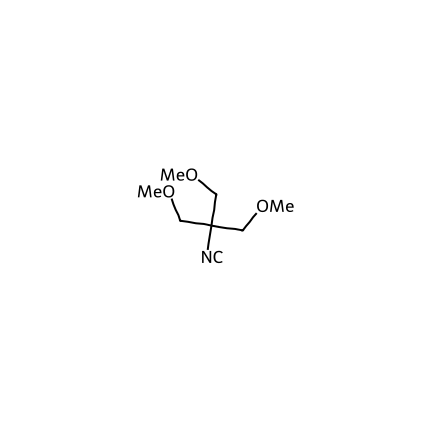 [C-]#[N+]C(COC)(COC)COC